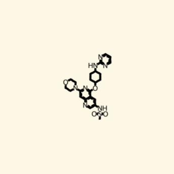 CS(=O)(=O)Nc1cnc2cc(N3CCOCC3)nc(OC3CCC(Nc4ncccn4)CC3)c2c1